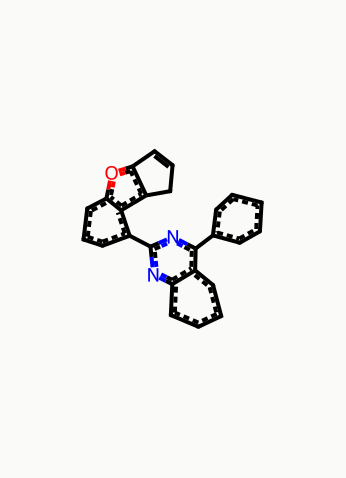 C1=Cc2oc3cccc(-c4nc(-c5ccccc5)c5ccccc5n4)c3c2C1